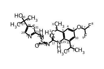 CC(C)c1cc(OC(F)F)cc(C(C)C)c1NC(=O)/N=[SH](=O)\Nc1ncc(C(C)(C)O)s1